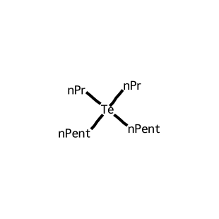 CCCCC[Te](CCC)(CCC)CCCCC